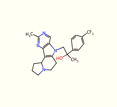 Cc1ncc2c(n1)c1c(n2CC(C)(O)c2ccc(C(F)(F)F)cc2)CCN2CCCC12